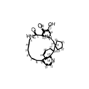 O=C1NCCCCCCc2ccnc3c2C=CCC3C2(CCCC2)Cn2cc(O)c(=O)c1n2